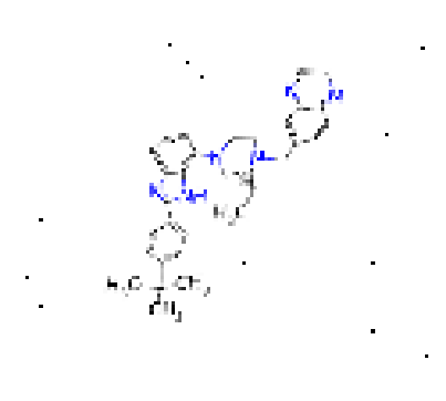 CC[C@H]1CN(c2cccc3nc(-c4ccc(C(C)(C)C)cc4)[nH]c23)CCN1Cc1ccc2nccnc2c1